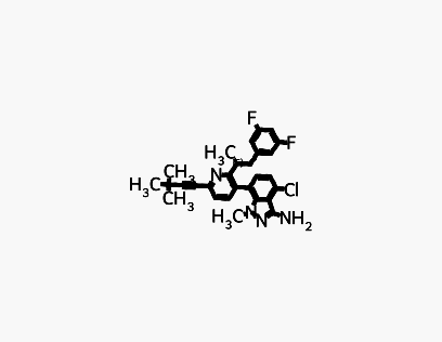 C[C@@H](Cc1cc(F)cc(F)c1)c1nc(C#CC(C)(C)C)ccc1-c1ccc(Cl)c2c(N)nn(C)c12